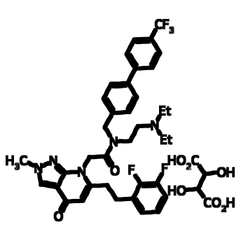 CCN(CC)CCN(Cc1ccc(-c2ccc(C(F)(F)F)cc2)cc1)C(=O)Cn1c(CCc2cccc(F)c2F)cc(=O)c2cn(C)nc21.O=C(O)C(O)C(O)C(=O)O